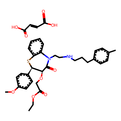 CCOC(=O)CO[C@@H]1C(=O)N(CCNCCCc2ccc(C)cc2)c2ccccc2S[C@@H]1c1ccc(OC)cc1.O=C(O)/C=C/C(=O)O